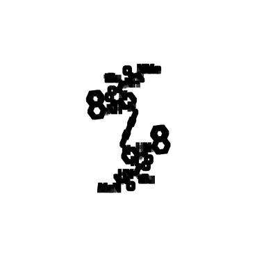 CN[C@@H](C)C(=O)N[C@H](C(=O)N1CCN(CC#CC#CCN2CCN(C(=O)[C@@H](NC(=O)[C@H](C)NC)C(C)(C)C)[C@H](C(=O)N[C@@H]3CCCc4ccccc43)C2)C[C@H]1C(=O)N[C@@H]1CCCc2ccccc21)C(C)(C)C